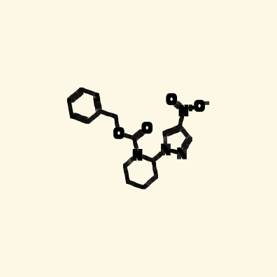 O=C(OCc1ccccc1)N1CCCCC1n1cc([N+](=O)[O-])cn1